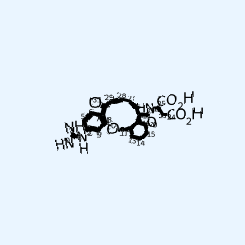 N=C(N)Nc1ccc2c(c1)OCC1CCCCC1=C(C(=O)NC(CC(=O)O)C(=O)O)C=CC=CC2=O